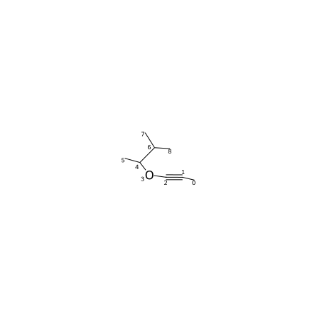 CC#COC(C)C(C)C